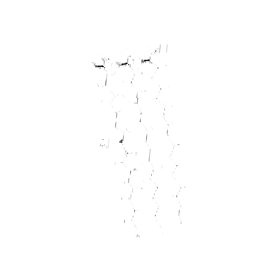 CCCCCCCCCCCCCCCCCC(=O)O.CCCCCCCCCCCCCCCCCC(=O)O.CCCCCCCCCCCCCCCCCC(=O)O.[AlH3]